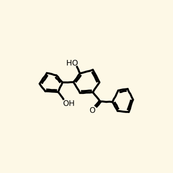 O=C(c1ccccc1)c1ccc(O)c(-c2ccccc2O)c1